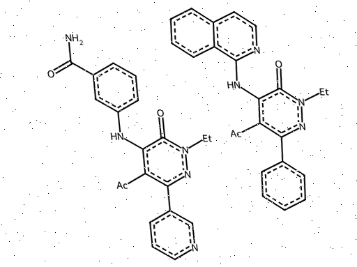 CCn1nc(-c2ccccc2)c(C(C)=O)c(Nc2nccc3ccccc23)c1=O.CCn1nc(-c2cccnc2)c(C(C)=O)c(Nc2cccc(C(N)=O)c2)c1=O